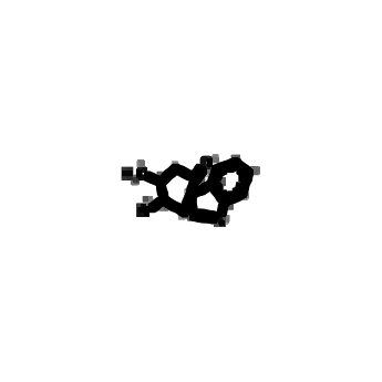 CC1CC(=O)C2(C=Nc3ccccc32)CC1Br